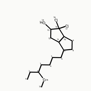 CCC(CCCCC1CCC2C1CC(O)C2(Cl)Cl)OC